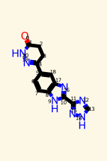 O=C1CCC(c2ccc3[nH]c(-c4nc[nH]n4)nc3c2)=NN1